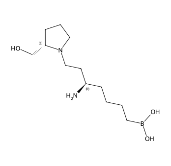 N[C@H](CCCCB(O)O)CCN1CCC[C@H]1CO